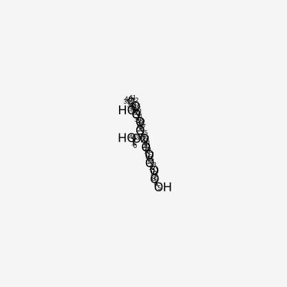 C=CC(=O)O.OCCOCCOCCOCCOCCOCCOCCOCCOCCOCC(O)Oc1ccccc1